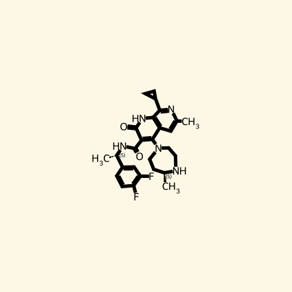 Cc1cc2c(N3CCN[C@@H](C)CC3)c(C(=O)N[C@@H](C)c3ccc(F)c(F)c3)c(=O)[nH]c2c(C2CC2)n1